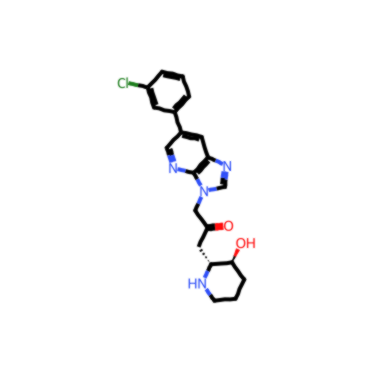 O=C(C[C@H]1NCCC[C@@H]1O)Cn1cnc2cc(-c3cccc(Cl)c3)cnc21